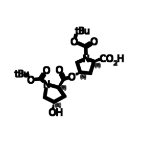 CC(C)(C)OC(=O)N1C[C@@H](OC(=O)[C@H]2C[C@H](O)CN2C(=O)OC(C)(C)C)C[C@@H]1C(=O)O